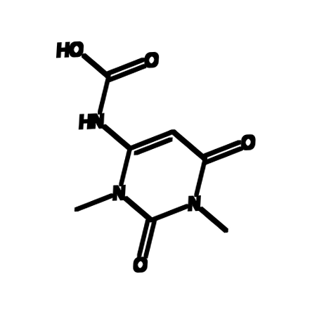 Cn1c(NC(=O)O)cc(=O)n(C)c1=O